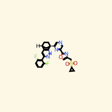 O=S(=O)(Cc1coc(-c2cncc([C@]34CC[C@H](CC3)c3cc(-c5c(F)cccc5F)nnc34)n2)n1)C1CC1